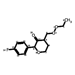 CCOOCC1CCOC(c2ccc(F)cc2)C1=O